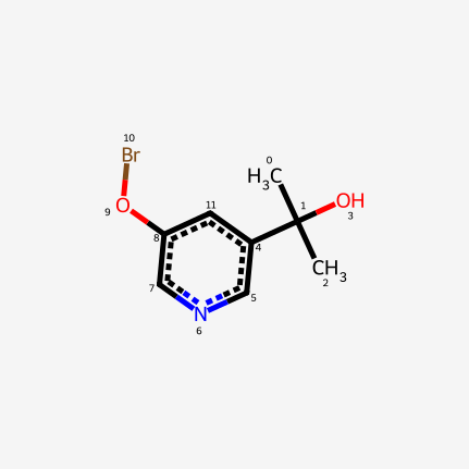 CC(C)(O)c1cncc(OBr)c1